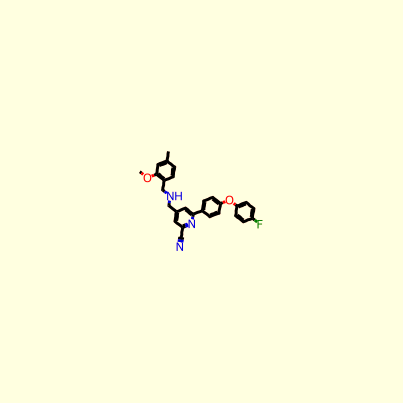 COc1cc(C)ccc1CNCc1cc(C#N)nc(-c2ccc(Oc3ccc(F)cc3)cc2)c1